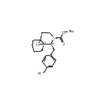 Cc1ccc(C[C@@H]2N(C(=O)OC(C)(C)C)CCC34CCCC[C@]23O4)cc1